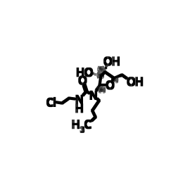 CCCCN(C(=O)NCCCl)[C@@H]1O[C@H](CO)[C@@H](O)[C@H]1O